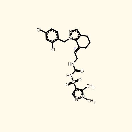 Cc1c(S(=O)(=O)NC(=O)NC/C=C2\CCCc3cnn(Cc4ccc(Cl)cc4Cl)c32)cnn1C